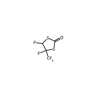 O=C1SC(F)C(F)(C(F)(F)F)S1